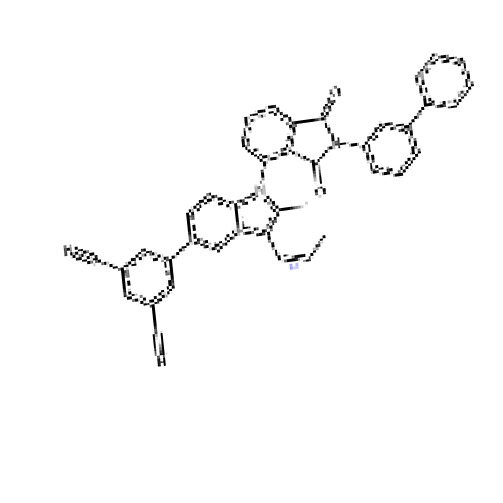 C/C=C\c1c(C)n(-c2cccc3c2C(=O)N(c2cccc(-c4ccccc4)c2)C3=O)c2ccc(-c3cc(C#N)cc(C#N)c3)cc12